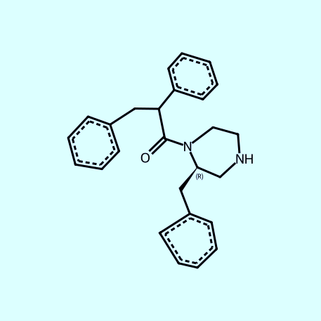 O=C(C(Cc1ccccc1)c1ccccc1)N1CCNC[C@H]1Cc1ccccc1